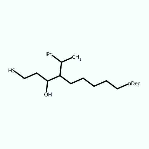 CCCCCCCCCCCCCCCC(C(O)CCS)C(C)C(C)C